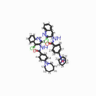 O=C(Nc1cc2ccccc2nc1Cl)c1ccc(N2CC3CCC(CC3)C2)cc1.O=C(Nc1cnc2ccccc2c1Cl)c1ccc(N2CCCCCC2)cc1